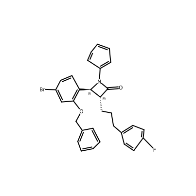 O=C1[C@H](CCCc2ccc(F)cc2)[C@@H](c2ccc(Br)cc2OCc2ccccc2)N1c1ccccc1